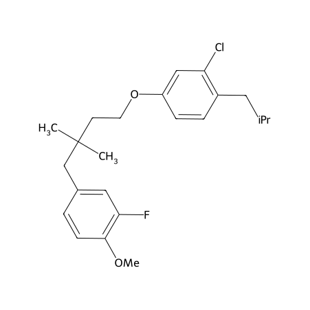 COc1ccc(CC(C)(C)CCOc2ccc(CC(C)C)c(Cl)c2)cc1F